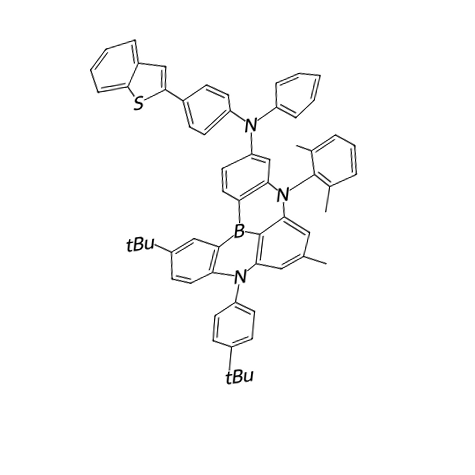 Cc1cc2c3c(c1)N(c1c(C)cccc1C)c1cc(N(c4ccccc4)c4ccc(-c5cc6ccccc6s5)cc4)ccc1B3c1cc(C(C)(C)C)ccc1N2c1ccc(C(C)(C)C)cc1